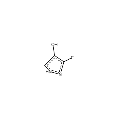 Oc1c[nH]nc1Cl